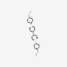 OCCc1ccc(-[n+]2ccc(-c3cc[n+](-c4ccc(CCO)cc4)cc3)cc2)cc1